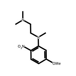 COc1ccc([N+](=O)[O-])c(N(C)CCN(C)C)c1